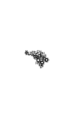 C=C(N[C@]1(C(=O)N[C@H](C(=S)NCCCn2ccnc2)C(C)CC)CCc2[nH]c3c(C(F)(F)F)cccc3c2C1)[C@@H](NC(=O)Cc1ccccc1F)C(C)CC